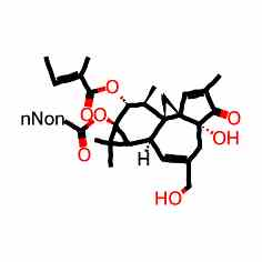 C/C=C(\C)C(=O)O[C@@H]1[C@@H](C)[C@]23C[C@]24C=C(C)C(=O)[C@@]4(O)CC(CO)=C[C@H]3C2C(C)(C)[C@@]21OC(=O)CCCCCCCCC